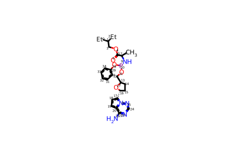 CCC(CC)COC(=O)C(C)NP(OCC1CC[C@H](c2ccc3c(N)ncnn23)O1)Oc1ccccc1